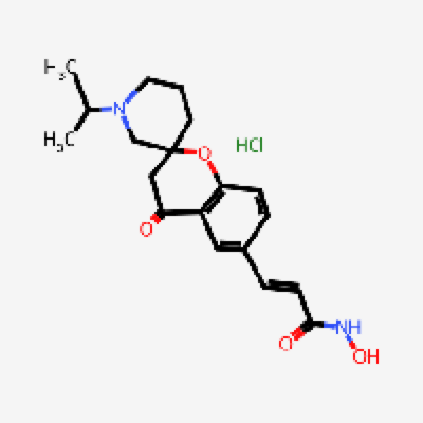 CC(C)N1CCCC2(CC(=O)c3cc(/C=C/C(=O)NO)ccc3O2)C1.Cl